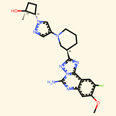 COc1cc2nc(N)n3nc([C@@H]4CCCN(c5cnn([C@H]6CC[C@]6(C)O)c5)C4)nc3c2cc1F